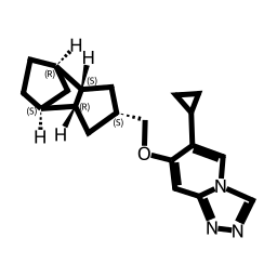 c1c(OC[C@@H]2C[C@@H]3[C@H]4CC[C@H](C4)[C@@H]3C2)c(C2CC2)cn2cnnc12